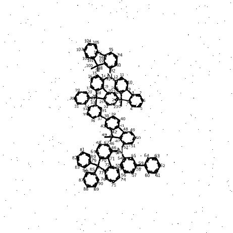 CC1(C)c2ccccc2-c2ccc(N(c3cccc4c3-c3ccccc3C4(c3ccccc3)c3cccc(-c4ccc5c(c4)C(C)(C)c4c-5cccc4N(c4cccc(-c5ccccc5)c4)c4cccc5c4-c4ccccc4C5(c4ccccc4)c4ccccc4)c3)c3cccc4c3C(C)(C)c3ccccc3-4)cc21